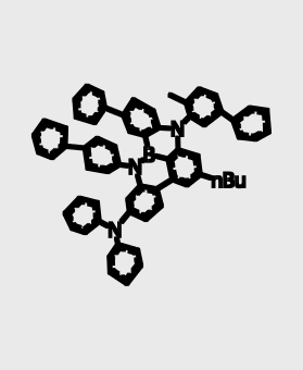 CCCCc1cc2c3c(c1)N(c1cc(-c4ccccc4)ccc1C)c1ccc(-c4ccccc4)cc1B3N(c1ccc(-c3ccccc3)cc1)c1cc(N(c3ccccc3)c3ccccc3)ccc1-2